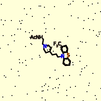 CC(=O)NCCN1CCC(CCCN2c3ccccc3Sc3ccc(C(F)(F)F)cc32)CC1